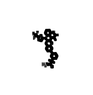 Cc1nc2cccnc2c(C(=O)N(Cc2ccc(-c3cccc(C(C)(C)C(N)=O)c3)cc2)Cc2ccc(C(F)(F)F)o2)c1C